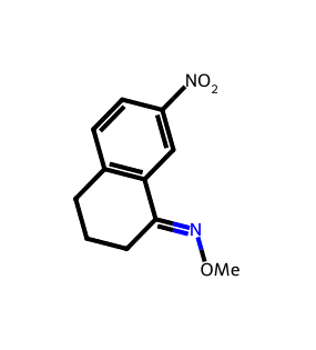 CON=C1CCCc2ccc([N+](=O)[O-])cc21